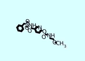 COCCNC(=O)Oc1ccc(C(=O)NS(=O)(=O)Cc2ccccc2)cn1